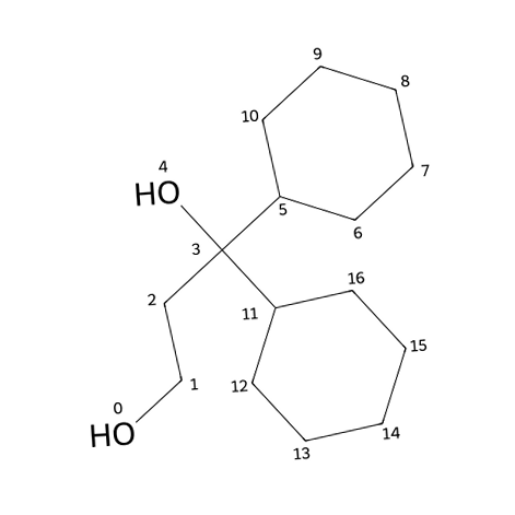 OCCC(O)(C1CCCCC1)C1CCCCC1